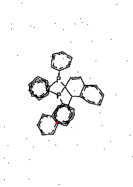 C1=CC(P(c2ccccc2)c2ccccc2)(P(c2ccccc2)c2ccccc2)C(c2ccc3ccccc3c2)c2ccccc21